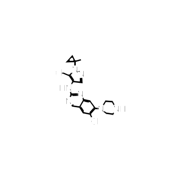 CC1(n2ncc(Nc3ncc4cc(Cl)c(N5CCNCC5)cc4n3)c2Cl)CC1